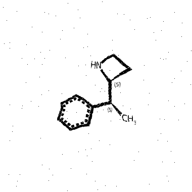 C[C@@H](c1ccccc1)[C@@H]1CCN1